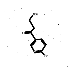 CC(C)(C)CCC(=O)c1ccc(Br)cc1